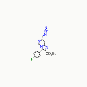 CCOC(=O)c1nc2cc(CN=[N+]=[N-])ncn2c1-c1ccc(F)cc1